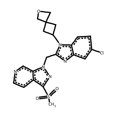 CS(=O)(=O)c1nn(Cc2nc3cc(Cl)ccc3n2C2CC3(COC3)C2)c2cnccc12